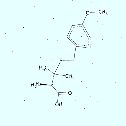 COc1ccc(CSC(C)(C)[C@H](N)C(=O)O)cc1